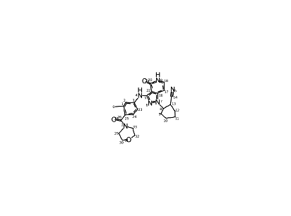 Cc1cc(Nc2nn(C3CCCCC3C#N)c3cc[nH]c(=O)c23)ccc1C(=O)N1CCOCC1